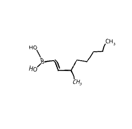 CCCCCC(C)/C=C/B(O)O